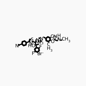 CCNCC(=O)Oc1c(C)cc(C[n+]2cnn(CC(O)(c3cc(F)ccc3F)C(C)c3nc(-c4ccc(C#N)cc4)cs3)c2)cc1C.[Br-]